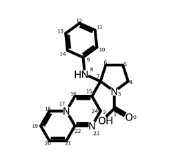 O=C(O)N1CCCC1(Nc1ccccc1)C1=CN2C=CC=CC2=NC1